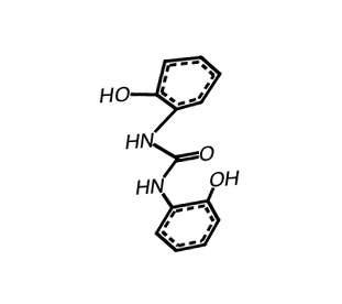 O=C(Nc1ccccc1O)Nc1ccccc1O